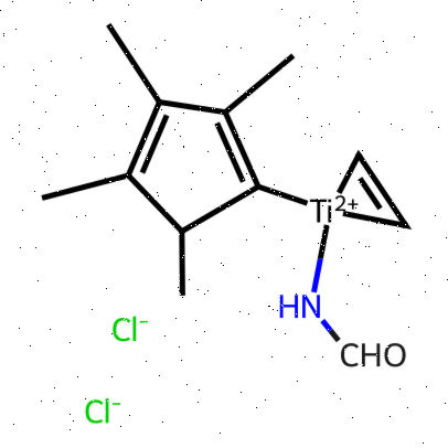 CC1=C(C)C(C)[C]([Ti+2]2([NH]C=O)[CH]=[CH]2)=C1C.[Cl-].[Cl-]